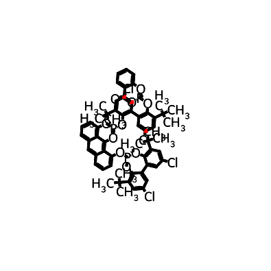 CC(C)(C)c1cc(Cl)cc(-c2cc(Cl)cc(C(C)(C)C)c2OP2Oc3cccc4cc5cccc(Op6oc7c(C(C)(C)C)cc(Cl)cc7c7cc(Cl)cc(C(C)(C)C)c7o6)c5c(c34)O2)c1OP1OC(=O)c2ccccc2O1